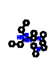 C1=CCCC(C2=CC=CC(C3NC(c4ccc(-n5c6c(c7cc8cccc(N9c%10ccccc%10C%10C=CC=CC%109)c8cc75)C=CCC6)c5ccccc45)=NC(C4=CC(c5ccccc5)CC=C4)N3)C2)=C1